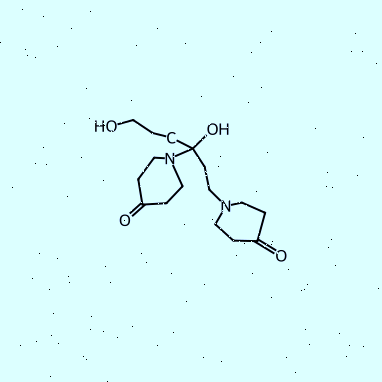 O=C1CCN(CCC(O)(CCCO)N2CCC(=O)CC2)CC1